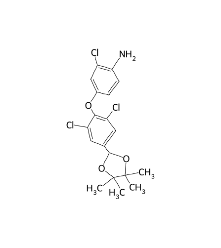 CC1(C)OC(c2cc(Cl)c(Oc3ccc(N)c(Cl)c3)c(Cl)c2)OC1(C)C